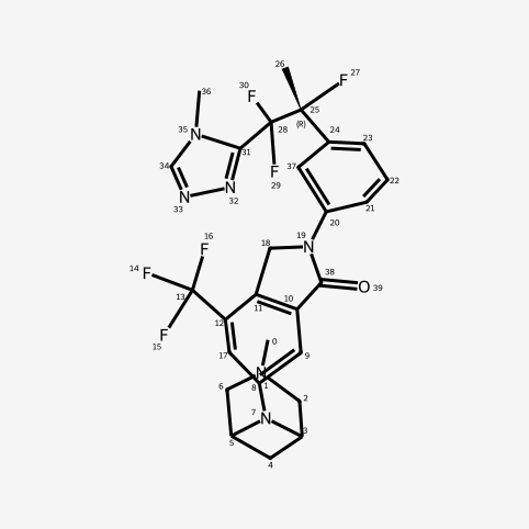 CN1CC2CC(C1)N2c1cc2c(c(C(F)(F)F)c1)CN(c1cccc([C@@](C)(F)C(F)(F)c3nncn3C)c1)C2=O